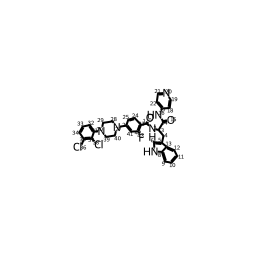 O=C(NC(Cc1c[nH]c2ccccc12)C(=O)Nc1ccncc1)c1ccc(N2CCN(c3cccc(Cl)c3Cl)CC2)cc1F